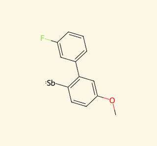 COc1cc[c]([Sb])c(-c2cccc(F)c2)c1